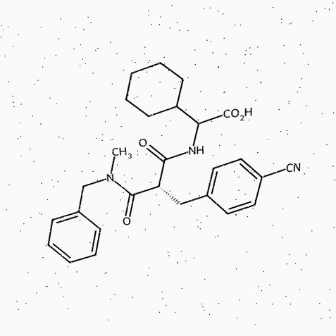 CN(Cc1ccccc1)C(=O)[C@@H](Cc1ccc(C#N)cc1)C(=O)NC(C(=O)O)C1CCCCC1